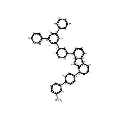 Cc1cccc(-c2ccc(-c3cccc4c3sc3c(-c5cccc(-c6nc(-c7ccccc7)nc(-c7ccccc7)n6)c5)cccc34)cc2)c1